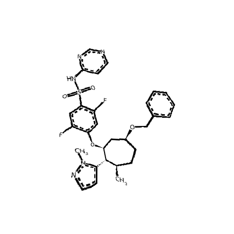 C[C@@H]1CC[C@H](OCc2ccccc2)C[C@H](Oc2cc(F)c(S(=O)(=O)Nc3ccncn3)cc2F)[C@H]1c1ccnn1C